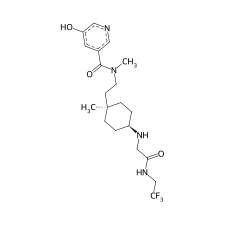 CN(CC[C@]1(C)CC[C@H](NCC(=O)NCC(F)(F)F)CC1)C(=O)c1cncc(O)c1